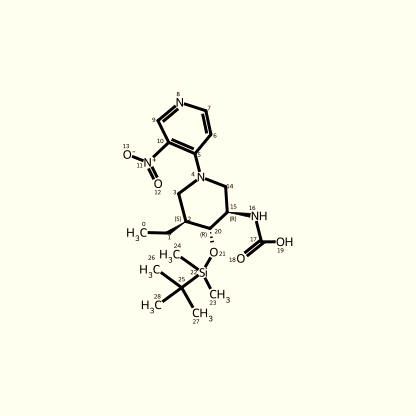 CC[C@H]1CN(c2ccncc2[N+](=O)[O-])C[C@@H](NC(=O)O)[C@@H]1O[Si](C)(C)C(C)(C)C